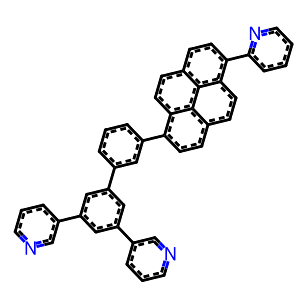 c1ccc(-c2ccc3ccc4c(-c5cccc(-c6cc(-c7cccnc7)cc(-c7cccnc7)c6)c5)ccc5ccc2c3c54)nc1